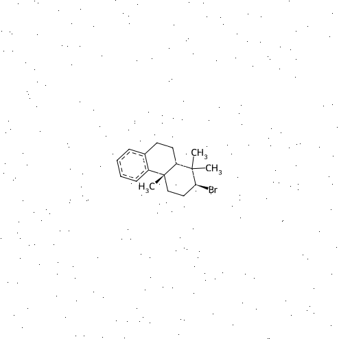 CC1(C)C2CCc3ccccc3[C@@]2(C)CC[C@@H]1Br